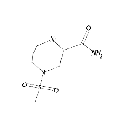 CS(=O)(=O)N1CC[N]C(C(N)=O)C1